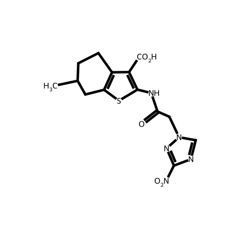 CC1CCc2c(sc(NC(=O)Cn3cnc([N+](=O)[O-])n3)c2C(=O)O)C1